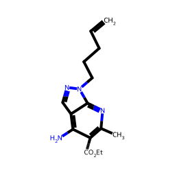 C=CCCCn1ncc2c(N)c(C(=O)OCC)c(C)nc21